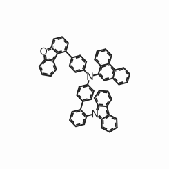 c1ccc(-n2c3ccccc3c3ccccc32)c(-c2ccc(N(c3ccc(-c4cccc5oc6ccccc6c45)cc3)c3cc4ccccc4c4ccccc34)cc2)c1